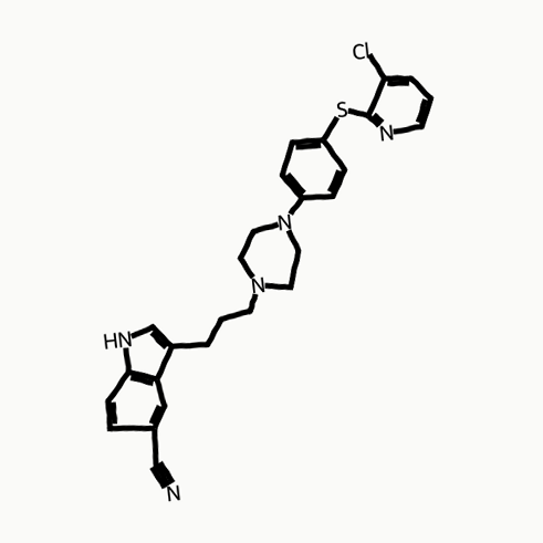 N#Cc1ccc2[nH]cc(CCCN3CCN(c4ccc(Sc5ncccc5Cl)cc4)CC3)c2c1